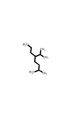 CCCC(CCC(C)C)C(C)C